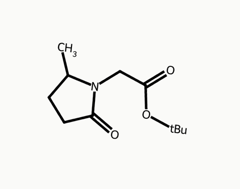 CC1CCC(=O)N1CC(=O)OC(C)(C)C